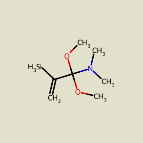 C=C([SiH3])C(OC)(OC)N(C)C